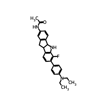 CCN(CC)c1ccc(-c2ccc3c(c2F)NC2c4ccc(NC(C)=O)cc4CC32)cc1